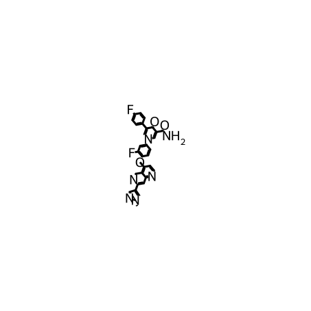 Cn1cc(-c2cc3nccc(Oc4ccc(-n5cc(C(N)=O)c(=O)c(-c6ccc(F)cc6)c5)cc4F)c3cn2)cn1